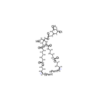 C=C1CC(CC)CC(CC(=O)OCC(CO)(COC(=O)CCCCCC(=O)OCC/C=C\CCCCC)COC(=O)CCCCCC(=O)OCC/C=C\CCCCC)C1